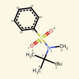 CN(C(C)(C)C(C)(C)C)S(=O)(=O)c1ccccc1